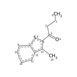 CCCC(=O)c1sc2ccccc2c1C